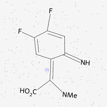 CN/C(C(=O)O)=C1/C=C(F)C(F)=CC1=N